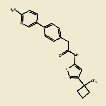 Nc1ccc(-c2ccc(CC(=O)Nc3cc(C4(C(F)(F)F)CCC4)no3)cc2)cn1